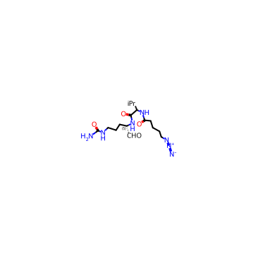 CC(C)C(NC(=O)CCCCN=[N+]=[N-])C(=O)N[C@H](C=O)CCCNC(N)=O